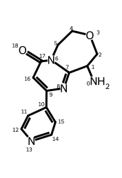 NC1COCCn2c1nc(-c1ccncc1)cc2=O